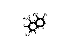 CCc1nc2ccc(F)c(Cl)c2c(OC(C)=O)c1C